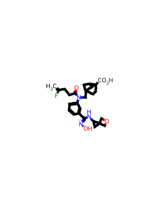 C=C(F)CCC(=O)N(CC12CCC(C(=O)O)=C(C1)C2)c1cccc(/C(=N/O)NC2CC23COC3)c1